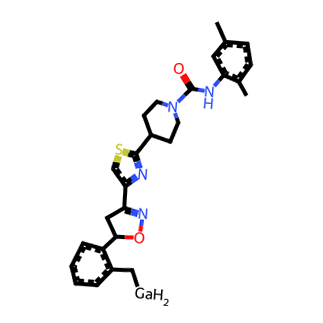 Cc1ccc(C)c(NC(=O)N2CCC(c3nc(C4=NOC(c5ccccc5[CH2][GaH2])C4)cs3)CC2)c1